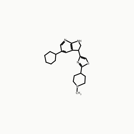 CN1CCC(c2nc(C3CNc4ncc(C5CCCCC5)cc43)cs2)CC1